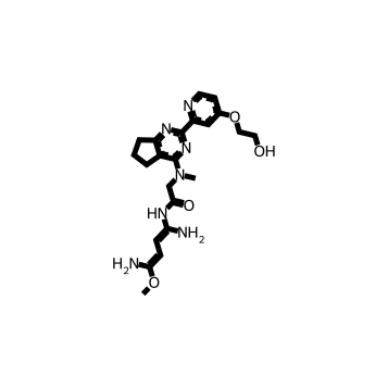 CO/C(N)=C/C=C(\N)NC(=O)CN(C)c1nc(-c2cc(OCCO)ccn2)nc2c1CCC2